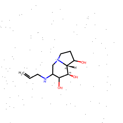 C=CCNC1CN2CCC(O)[C@@H]2[C@@H](O)C1O